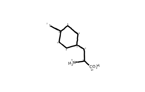 NC(CC1CCC(I)CC1)C(=O)O